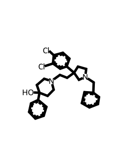 OC1(c2ccccc2)CCN(CCC2(c3ccc(Cl)c(Cl)c3)CCN(Cc3ccccc3)C2)CC1